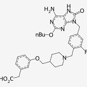 CCCCOc1nc(N)c2[nH]c(=O)n(Cc3ccc(CN4CCC(COc5cccc(CC(=O)O)c5)CC4)c(F)c3)c2n1